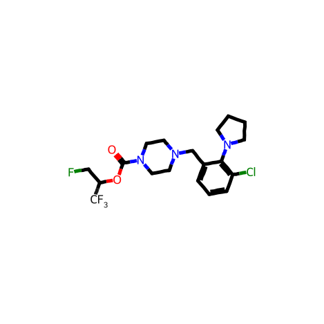 O=C(OC(CF)C(F)(F)F)N1CCN(Cc2cccc(Cl)c2N2CCCC2)CC1